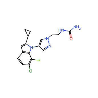 NC(=O)NCCn1cc(-n2c(C3CC3)cc3ccc(Cl)c(F)c32)cn1